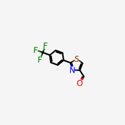 O=Cc1csc(-c2ccc(C(F)(F)F)cc2)n1